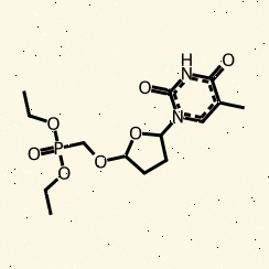 CCOP(=O)(COC1CCC(n2cc(C)c(=O)[nH]c2=O)O1)OCC